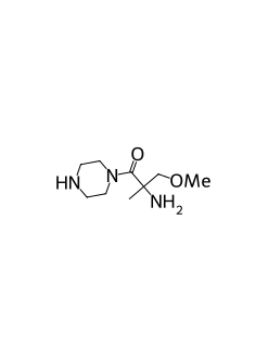 COCC(C)(N)C(=O)N1CCNCC1